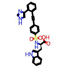 O=C(O)[C@@H](Cc1c[nH]c2ccccc12)NS(=O)(=O)c1ccc(C#Cc2ccccc2-c2c[nH]cn2)cc1